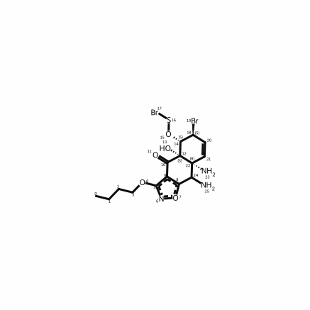 CCCCOc1noc2c1C(=O)[C@@]1(O)[C@H](OSBr)[C@@H](Br)C=C[C@@]1(N)C2N